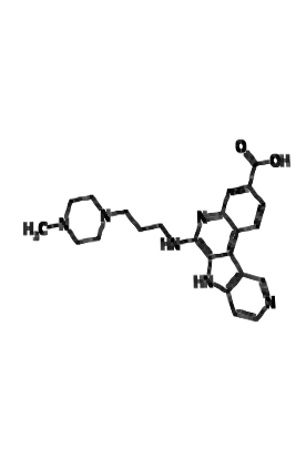 CN1CCN(CCCNc2nc3cc(C(=O)O)ccc3c3c2[nH]c2ccncc23)CC1